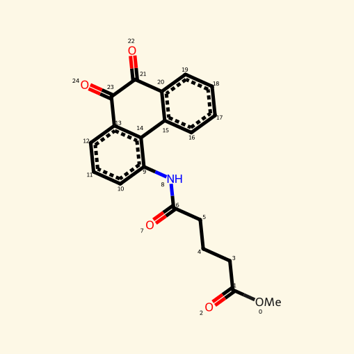 COC(=O)CCCC(=O)Nc1cccc2c1-c1ccccc1C(=O)C2=O